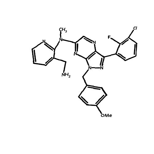 COc1ccc(Cn2nc(-c3cccc(Cl)c3F)c3ncc(N(C)c4ncccc4CN)nc32)cc1